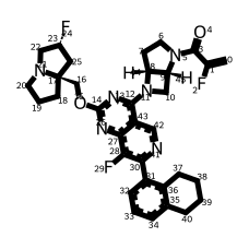 C=C(F)C(=O)N1CC[C@@H]2[C@H]1CN2c1nc(OC[C@@]23CCCN2C[C@H](F)C3)nc2c(F)c(-c3cccc4c3CCCC4)ncc12